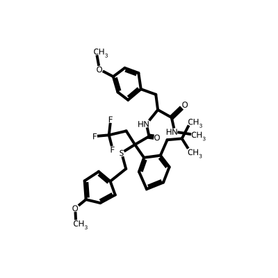 CNC(=O)C(Cc1ccc(OC)cc1)NC(=O)C(CC(F)(F)F)(SCc1ccc(OC)cc1)c1ccccc1CC(C)C